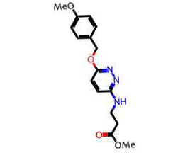 COC(=O)CCNc1ccc(OCc2ccc(OC)cc2)nn1